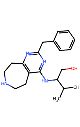 CC(C)C(CO)Nc1nc(Cc2ccccc2)nc2c1CCNCC2